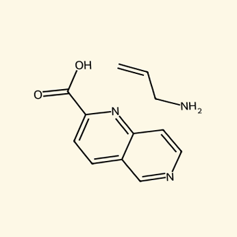 C=CCN.O=C(O)c1ccc2cnccc2n1